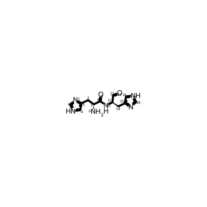 N[C@H](Cc1c[nH]cn1)C(=O)N[C@@H]([C]=O)Cc1c[nH]cn1